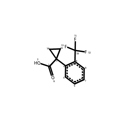 O=C(O)C1(c2ccccc2C(F)(F)F)CC1